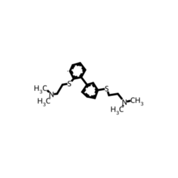 CN(C)CCSc1cccc(-c2ccc[c]c2SCCN(C)C)c1